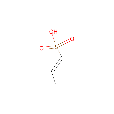 CC=CS(=O)(=O)O